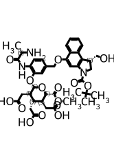 COC(=O)[C@H]1O[C@@H](Oc2cc(COc3cc4c(c5ccccc35)[C@H](CO)CN4C(=O)OC(C)(C)C)ccc2NC(=O)[C@H](C)N)[C@H](CC(=O)O)[C@@H](CC(=O)O)[C@@H]1CC(=O)O